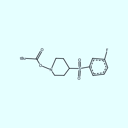 CC(C)(C)C(=O)ON1CCC(S(=O)(=O)c2cccc(F)c2)CC1